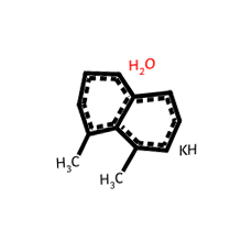 Cc1cccc2cccc(C)c12.O.[KH]